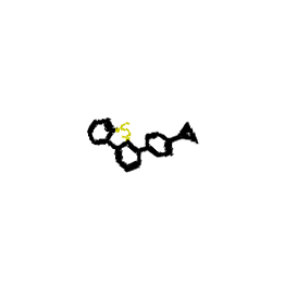 C1=C(c2ccc(-c3cccc4c3sc3ccccc34)cc2)C1